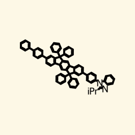 CC(C)c1nc2ccccc2n1-c1ccc(-c2ccc3c(c2)C(c2ccccc2)(c2ccccc2)c2cc4c(cc2-3)C(c2ccccc2)(c2ccccc2)c2cc(-c3ccc(-c5ccccc5)cc3)ccc2-4)cc1